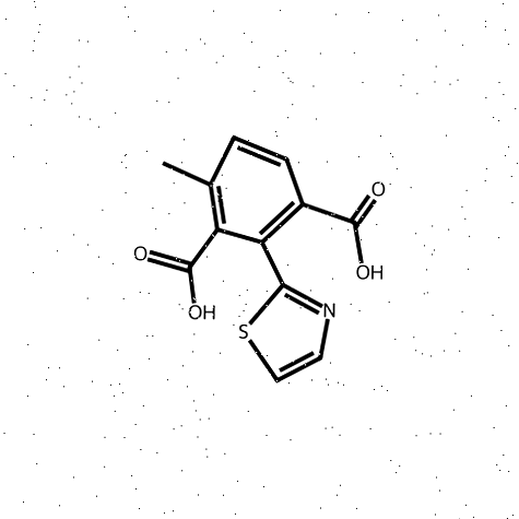 Cc1ccc(C(=O)O)c(-c2nccs2)c1C(=O)O